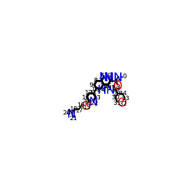 CNC(=O)c1nnc2ccc(-c3ccc(OCCCN(C)C)nc3)cc2c1NCC1CCOCC1